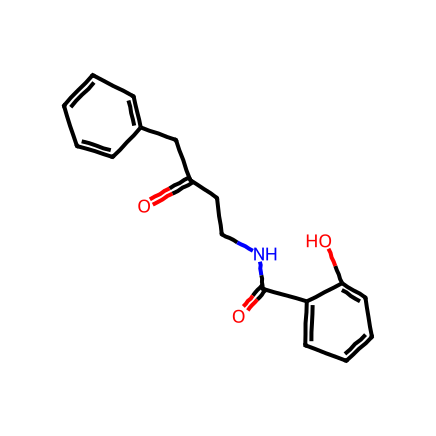 O=C(CCNC(=O)c1ccccc1O)Cc1ccccc1